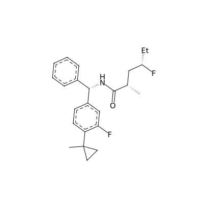 CC[C@H](F)C[C@H](C)C(=O)N[C@@H](c1ccccc1)c1ccc(C2(C)CC2)c(F)c1